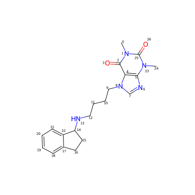 Cn1c(=O)c2c(ncn2CCCCNC2CCc3ccccc32)n(C)c1=O